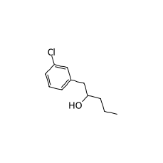 CCCC(O)Cc1cccc(Cl)c1